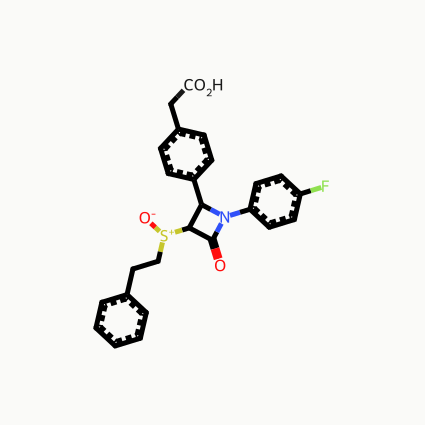 O=C(O)Cc1ccc(C2C([S+]([O-])CCc3ccccc3)C(=O)N2c2ccc(F)cc2)cc1